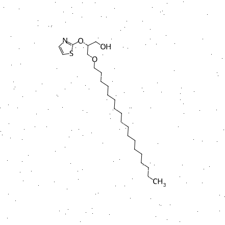 CCCCCCCCCCCCCCCCCCOCC(CO)Oc1nccs1